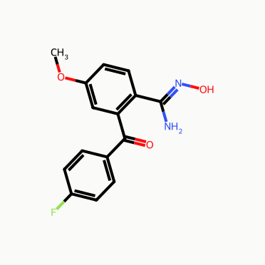 COc1ccc(C(N)=NO)c(C(=O)c2ccc(F)cc2)c1